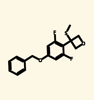 CSC1(c2c(F)cc(OCc3ccccc3)cc2F)COC1